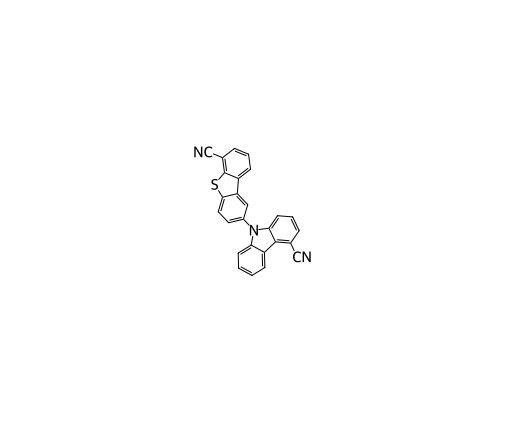 N#Cc1cccc2c1sc1ccc(-n3c4ccccc4c4c(C#N)cccc43)cc12